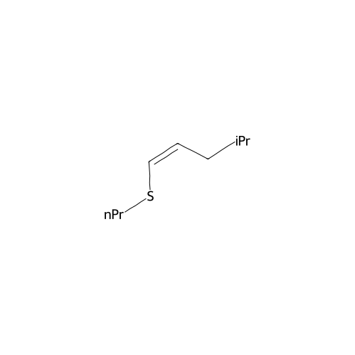 CCCS/C=C\CC(C)C